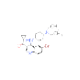 CCN(CC)[C@H]1CC[C@H](Nc2c(C(=O)C3CC3)cnc3ccc(Br)cc23)CC1